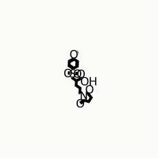 COc1ccc(S(=O)(=O)CC(CCCN2C(=O)CCC2=O)C(=O)O)cc1